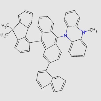 CN1c2ccccc2N(c2c3ccccc3c(-c3cccc4c3-c3ccccc3C4(C)C)c3cc(-c4cccc5ccccc45)ccc23)c2ccccc21